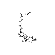 COCCN(C)CCCCCCOc1ccc(N(C)S(=O)(=O)c2ccc(Br)cc2)cc1